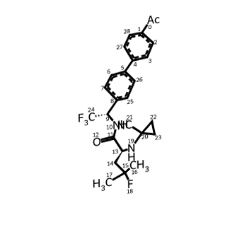 CC(=O)c1ccc(-c2ccc([C@H](NC(=O)[C@H](CC(C)(C)F)NC3(C#N)CC3)C(F)(F)F)cc2)cc1